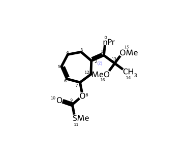 CCC/C(=C1\CCC=CC(OC(=O)SC)C1)C(C)(OC)OC